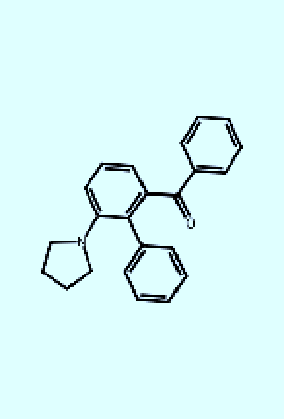 O=C(c1ccccc1)c1cccc(N2CCCC2)c1-c1ccccc1